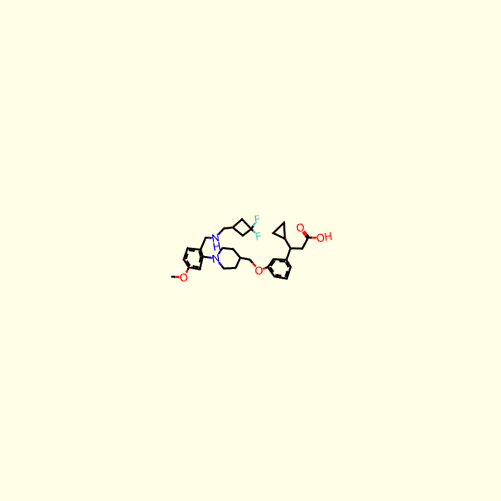 COc1ccc(CNCC2CC(F)(F)C2)c(N2CCC(COc3cccc(C(CC(=O)O)C4CC4)c3)CC2)c1